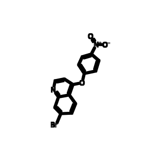 O=[N+]([O-])c1ccc(Oc2ccnc3cc(Br)ccc23)cc1